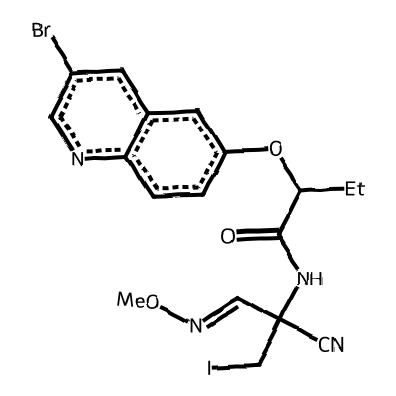 CCC(Oc1ccc2ncc(Br)cc2c1)C(=O)NC(C#N)(C=NOC)CI